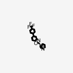 FC(F)(F)c1ccc(-c2ccc3oc(N4CCN5CCC4CC5)nc3c2)cc1